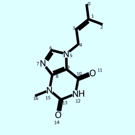 CC(C)=CCn1cnc2c1c(=O)[nH]c(=O)n2C